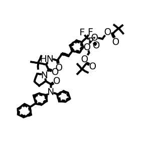 CC(C)(C)C(=O)OCOP(=O)(OCOC(=O)C(C)(C)C)C(F)(F)c1ccc(/C=C/C(=O)NC(C(=O)N2CCCC2C(=O)N(c2ccccc2)c2ccc(-c3ccccc3)cc2)C(C)(C)C)cc1